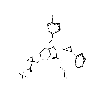 C=CCOC(=O)N(CC1(COc2ccc(F)cn2)CCN(CC2(C(=O)OC(C)(C)C)CC2)CC1)[C@@H]1C[C@H]1c1ccccc1